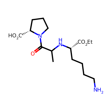 CCOC(=O)[C@H](CCCCN)NC(C)C(=O)N1CCC[C@H]1C(=O)O